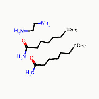 CCCCCCCCCCCCCCCC(N)=O.CCCCCCCCCCCCCCCC(N)=O.NCCN